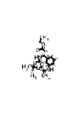 CCOC(=O)C[C@@H](NC(=O)OC(C)(C)C)c1cccc(NC(C)=O)c1